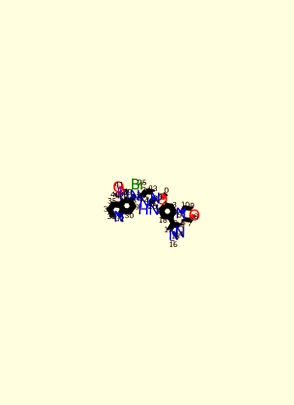 COc1cc(N2CCOCC2)c(-c2cnn(C)c2)cc1Nc1ncc(Br)c(Nc2ccc3ncccc3c2P(C)(C)=O)n1